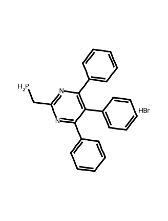 Br.PCc1nc(-c2ccccc2)c(-c2ccccc2)c(-c2ccccc2)n1